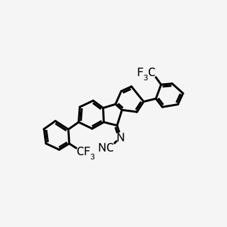 N#CN=C1c2cc(-c3ccccc3C(F)(F)F)ccc2-c2ccc(-c3ccccc3C(F)(F)F)cc21